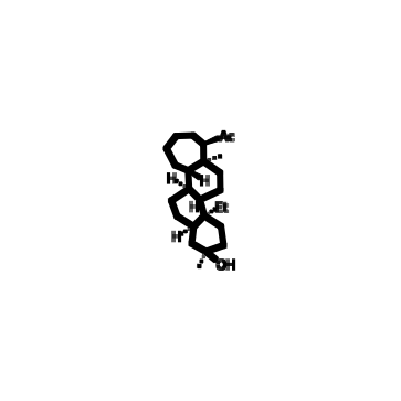 CC[C@]12CC[C@@](C)(O)C[C@H]1CC[C@H]1[C@@H]3CCCC[C@@H](C(C)=O)[C@@]3(C)CC[C@@H]12